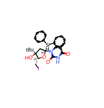 Cc1cn([C@@]2([SiH](c3ccccc3)c3ccccc3)C[C@@](O)(C(C)(C)C)[C@@H](CI)O2)c(=O)[nH]c1=O